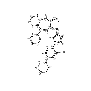 C=C1Nc2ccccc2C(c2ccccc2)=N[C@@H]1Nc1nnc(-c2ccc(N3CCOCC3)cc2F)o1